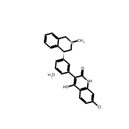 CN1Cc2ccccc2[C@@H](c2cccc(-c3c(O)c4ccc(Cl)cc4[nH]c3=O)c2)C1.O